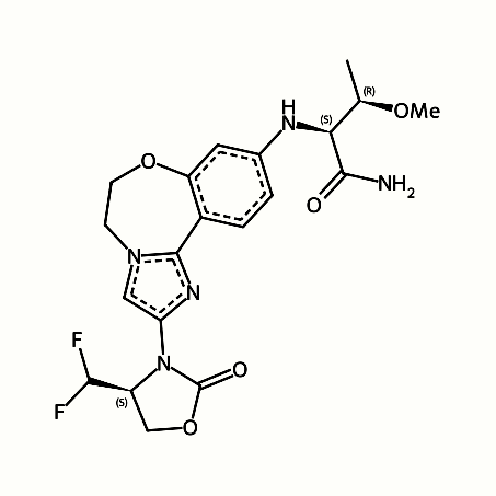 CO[C@H](C)[C@H](Nc1ccc2c(c1)OCCn1cc(N3C(=O)OC[C@H]3C(F)F)nc1-2)C(N)=O